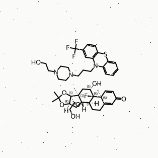 CC1(C)O[C@@H]2C[C@H]3[C@@H]4CCC5=CC(=O)C=C[C@]5(C)[C@@]4(F)[C@@H](O)C[C@]3(C)[C@]2(C(=O)CO)O1.OCCN1CCN(CCCN2c3ccccc3Sc3ccc(C(F)(F)F)cc32)CC1